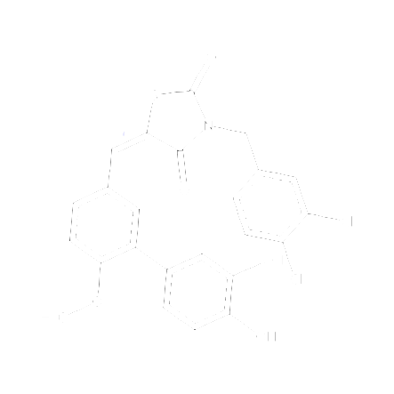 COc1ccc(/C=C2/SC(=O)N(Cc3ccc(Cl)c(Cl)c3)C2=O)cc1-c1ccc(O)c(O)c1